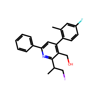 Cc1cc(F)ccc1-c1cc(-c2ccccc2)nc(C(C)CI)c1CO